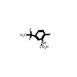 CC(F)(F)c1ccc(F)c(NC(=O)O)c1